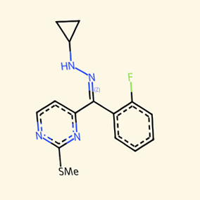 CSc1nccc(/C(=N\NC2CC2)c2ccccc2F)n1